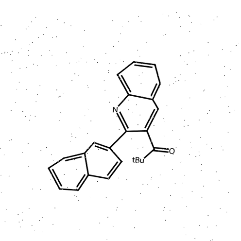 CC(C)(C)C(=O)c1cc2ccccc2nc1-c1ccc2ccccc2c1